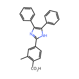 Cc1cc(-c2nc(-c3ccccc3)c(-c3ccccc3)[nH]2)ccc1C(=O)O